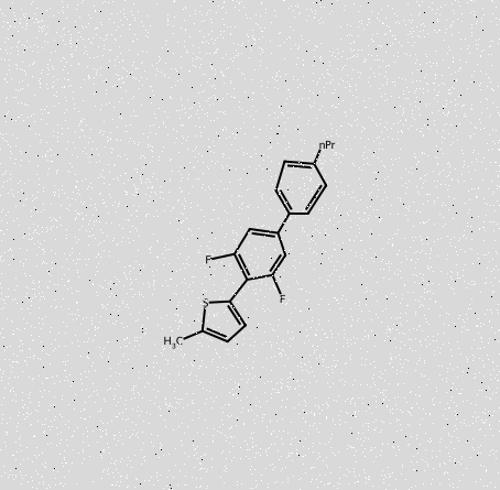 CCCc1ccc(-c2cc(F)c(-c3ccc(C)s3)c(F)c2)cc1